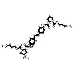 CCCCOC(=O)N1CCC[C@H]1C(=O)Nc1ccc(/C=C/c2ccc(NC(=O)[C@@H]3C[C@H](N)CN3C(=O)OCCCC)cc2)cc1